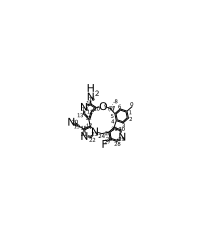 Cc1ccc2c(c1)[C@@H](C)Oc1cc(cnc1N)-c1c(C#N)ncn1Cc1c(F)cncc1-2